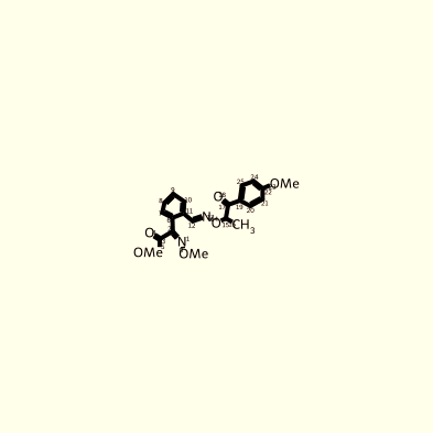 CON=C(C(=O)OC)c1ccccc1C=NOC(C)C(=O)c1ccc(OC)cc1